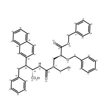 CC(C)CN(C[C@H](OCc1ccccc1)C(=O)OCc1ccccc1)C(=O)N[C@H](C(=O)O)C(Cc1ccccc1)c1ccc2ccccc2c1